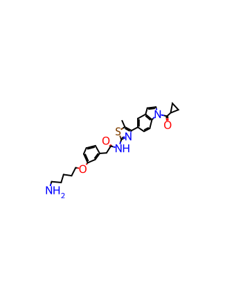 Cc1sc(NC(=O)Cc2cccc(OCCCCCN)c2)nc1-c1ccc2c(ccn2C(=O)C2CC2)c1